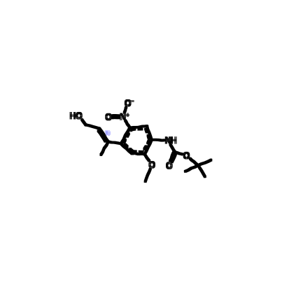 COc1cc(/C(C)=C/CO)c([N+](=O)[O-])cc1NC(=O)OC(C)(C)C